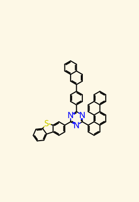 c1ccc2cc(-c3ccc(-c4nc(-c5ccc6c(c5)sc5ccccc56)nc(-c5cccc6ccc7c8ccccc8ccc7c56)n4)cc3)ccc2c1